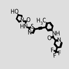 Cc1ccc(NC(=O)c2cc(C(F)(F)F)ccn2)cc1C#Cc1cnc(NC(=O)N2CC[C@@H](O)C2)s1